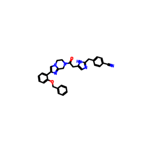 N#Cc1ccc(Cc2ncc(CC(=O)N3CCn4cc(-c5ccccc5OCc5ccccc5)nc4C3)[nH]2)cc1